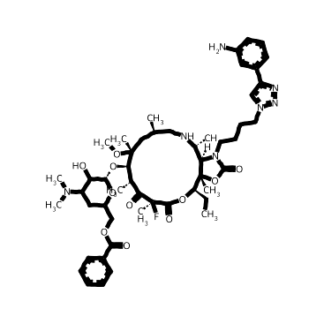 CC[C@H]1OC(=O)[C@@](C)(F)C(=O)[C@H](C)[C@@H](O[C@@H]2OC(COC(=O)c3ccccc3)CC(N(C)C)C2O)[C@](C)(OC)C[C@@H](C)CN[C@H](C)[C@H]2N(CCCCn3cc(-c4cccc(N)c4)nn3)C(=O)O[C@]12C